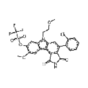 COCCn1c2cc(OS(=O)(=O)C(F)(F)F)c(OC)cc2c2c3c(c(-c4ccccc4Cl)cc21)C(=O)NC3=O